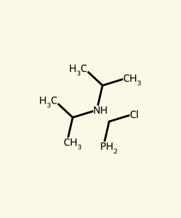 CC(C)NC(C)C.PCCl